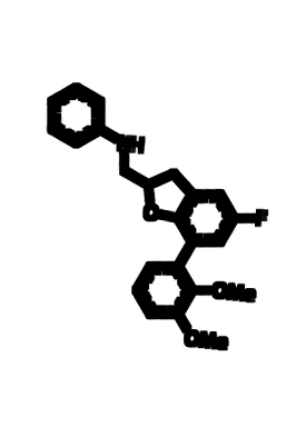 COc1cccc(-c2cc(F)cc3c2OC(CNc2ccccc2)C3)c1OC